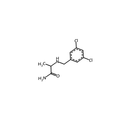 CC(NCc1cc(Cl)cc(Cl)c1)C(N)=O